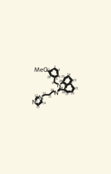 COc1cccc(CN2C(=NCCCn3ccnc3)c3cccc4cccc2c34)c1